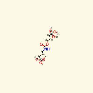 CO[Si](CCCNC(=O)OCCC[Si](OC)(OC)OC)(OC)OC